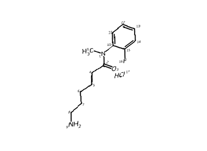 CN(C(=O)CCCCCN)c1ccccc1F.Cl